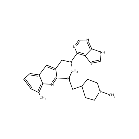 Cc1cccc2cc(CNc3ncnc4[nH]cnc34)c(N(C)CC3CCN(C)CC3)nc12